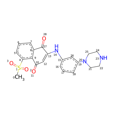 CS(=O)(=O)c1cccc2c1C(=O)C=C(Nc1cccc(N3CCNCC3)c1)C2=O